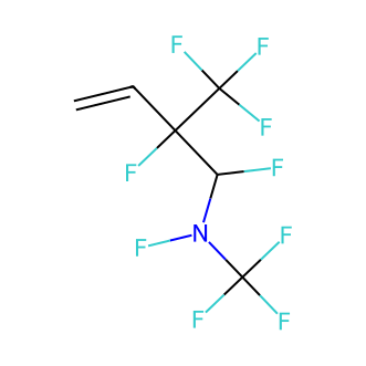 C=CC(F)(C(F)N(F)C(F)(F)F)C(F)(F)F